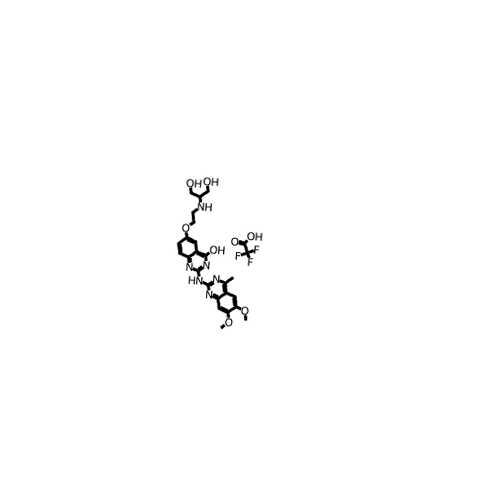 COc1cc2nc(Nc3nc(O)c4cc(OCCNC(CO)CO)ccc4n3)nc(C)c2cc1OC.O=C(O)C(F)(F)F